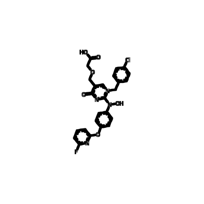 O=C(O)COCc1cn(Cc2ccc(Cl)cc2)c(N(O)c2ccc(Oc3cccc(F)n3)cc2)nc1=O